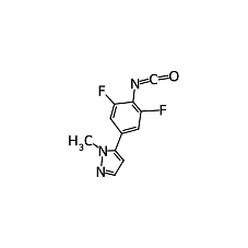 Cn1nccc1-c1cc(F)c(N=C=O)c(F)c1